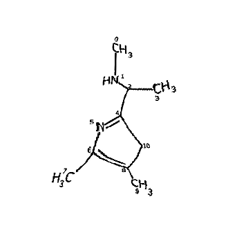 CNC(C)C1=NC(C)=C(C)C1